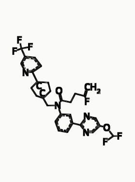 C=C(F)CCC(=O)N(CC12CCC(c3ccc(C(F)(F)F)cn3)(CC1)CC2)c1cccc(-c2ncc(OC(F)F)cn2)c1